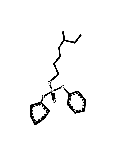 CCC(C)CCCCOP(=O)(Oc1ccccc1)Oc1ccccc1